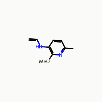 C=CNc1ccc(C)nc1OC